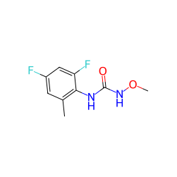 CONC(=O)Nc1c(C)cc(F)cc1F